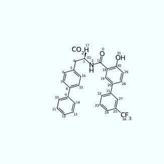 O=C(N[C@@H](Cc1ccc(-c2ccccc2)cc1)C(=O)O)c1cc(-c2cccc(C(F)(F)F)c2)ccc1O